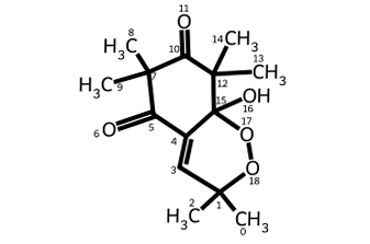 CC1(C)C=C2C(=O)C(C)(C)C(=O)C(C)(C)C2(O)OO1